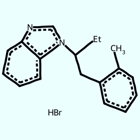 Br.CCC(Cc1ccccc1C)n1cnc2ccccc21